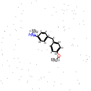 CC(C)(C)Nc1ccc(Cc2ccc(OC(C)(C)C)cc2)cc1